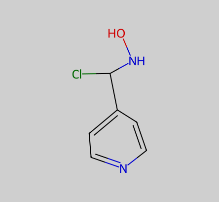 ONC(Cl)c1ccncc1